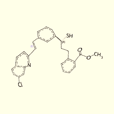 COC(=O)c1ccccc1CC[C@@H](S)c1cccc(/C=C/c2ccc3ccc(Cl)cc3n2)c1